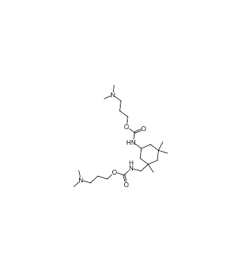 CN(C)CCCOC(=O)NCC1(C)CC(NC(=O)OCCCN(C)C)CC(C)(C)C1